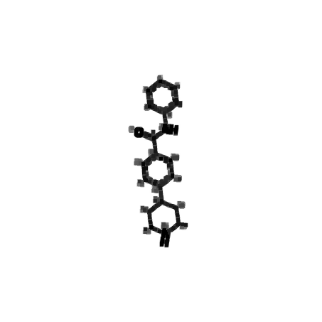 O=C(Nc1ccccc1)c1ccc(C2CCNCC2)cc1